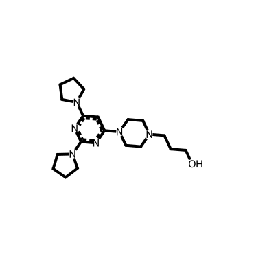 OCCCN1CCN(c2cc(N3CCCC3)nc(N3CCCC3)n2)CC1